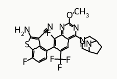 COc1nc(N2CC3CCC(C2)N3)c2cc(C(F)(F)F)c(-c3ccc(F)c4sc(N)c(C#N)c34)c(F)c2n1